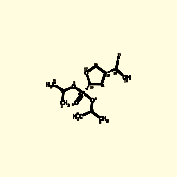 CC(C)OP(=O)(OC(C)C)[C@H]1C[C@@H](C(O)F)CO1